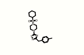 Cc1ccc(Cc2nsc(N3CCN(S(=O)(=O)C4CCCCC4)CC3)n2)cc1